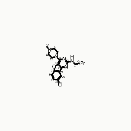 CC(C)CNc1nc(N2CCN(C)CC2)c2oc3ccc(Cl)cc3c2n1